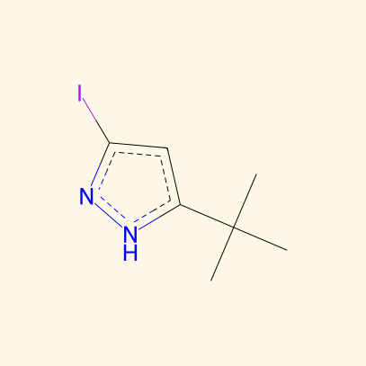 CC(C)(C)c1cc(I)n[nH]1